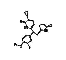 CC(C)Oc1ccc(C(C[C@H]2CCC(=O)N2)c2ccc(C3CC3)c(=O)[nH]2)cc1F